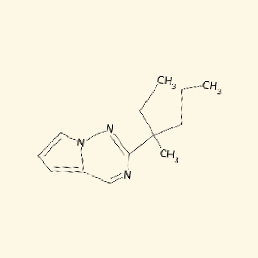 CCCC(C)(CC)c1ncc2cccn2n1